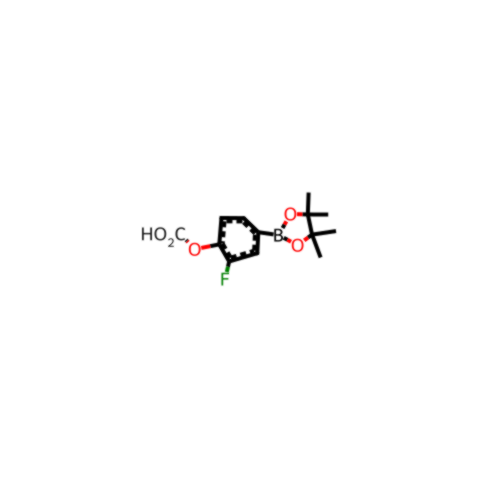 CC1(C)OB(c2ccc(OC(=O)O)c(F)c2)OC1(C)C